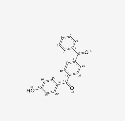 O=C(c1ccccc1)c1ccc(C(=O)c2ccc(O)cc2)cc1